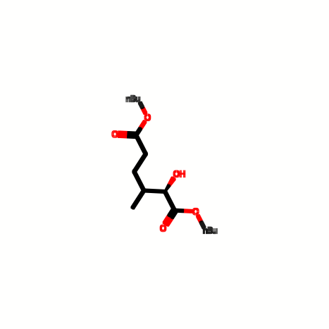 CCCCOC(=O)CCC(C)[C@@H](O)C(=O)OCCCC